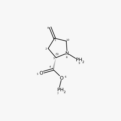 C=C1C[C@@H](C(=O)OP)N(P)C1